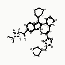 CN(C)S(=O)(=O)NC(=O)c1ccc2c(C3CCCCC3)c3n(c2c1)CC(c1nnn(CC2CCOCC2)n1)=Cc1ccccc1-3